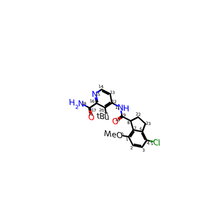 COc1ccc(Cl)c2c1C(C(=O)Nc1ccnc(C(N)=O)c1C(C)(C)C)CC2